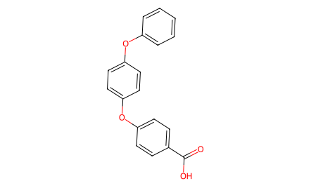 O=C(O)c1ccc(Oc2ccc(Oc3ccccc3)cc2)cc1